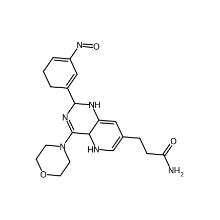 NC(=O)CCC1=CNC2C(=C1)NC(C1=CC(N=O)=CCC1)N=C2N1CCOCC1